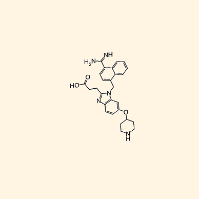 N=C(N)c1ccc(Cn2c(CCC(=O)O)nc3ccc(OC4CCNCC4)cc32)c2ccccc12